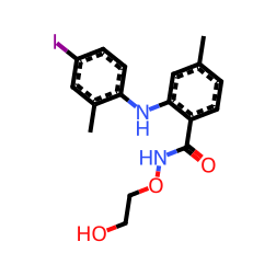 Cc1ccc(C(=O)NOCCO)c(Nc2ccc(I)cc2C)c1